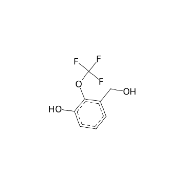 OCc1cccc(O)c1OC(F)(F)F